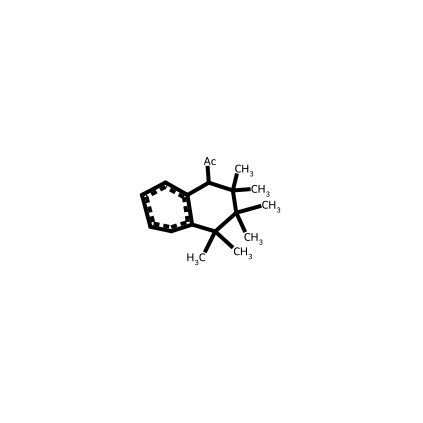 CC(=O)C1c2ccccc2C(C)(C)C(C)(C)C1(C)C